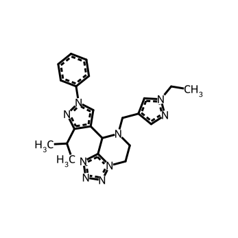 CCn1cc(CN2CCn3nnnc3C2c2cn(-c3ccccc3)nc2C(C)C)cn1